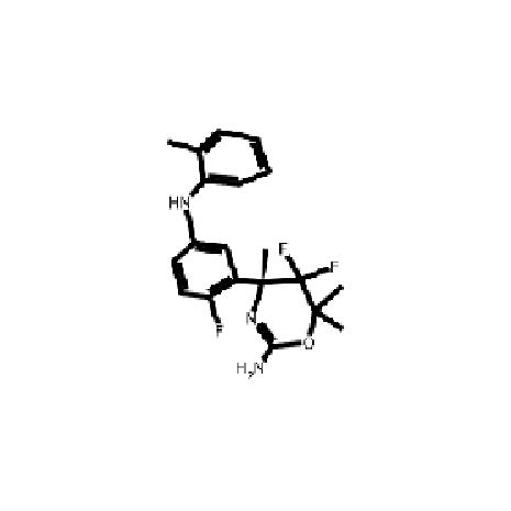 Cc1ccccc1Nc1ccc(F)c([C@@]2(C)N=C(N)OC(C)(C)C2(F)F)c1